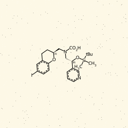 CC(C)(C)[Si](C)(C)O[C@@H](CN(C[C@@H]1CCc2cc(I)ccc2O1)C(=O)O)c1cccnc1